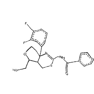 O=C(NC1=NC2(c3cccc(F)c3F)COC(CO)C2CS1)c1ccccc1